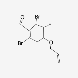 C=CCOC1CC(Br)=C(C=O)C(Br)C1F